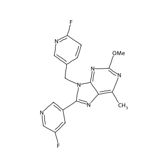 COc1nc(C)c2nc(-c3cncc(F)c3)n(Cc3ccc(F)nc3)c2n1